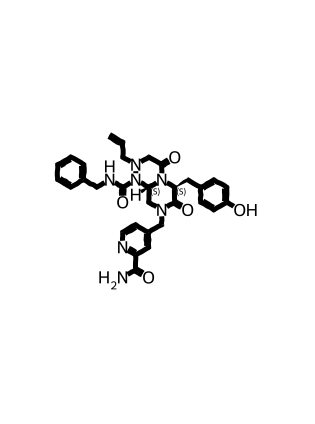 C=CCN1CC(=O)N2[C@@H](Cc3ccc(O)cc3)C(=O)N(Cc3ccnc(C(N)=O)c3)C[C@@H]2N1C(=O)NCc1ccccc1